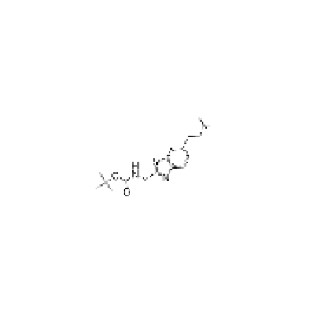 CN(C)CCc1ccc2nc(CNC(=O)OC(C)(C)C)sc2c1